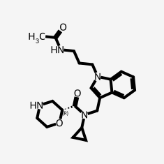 CC(=O)NCCCn1cc(CN(C(=O)[C@H]2CNCCO2)C2CC2)c2ccccc21